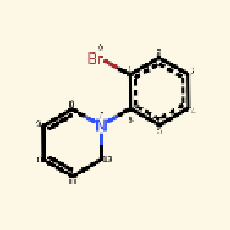 Brc1ccccc1N1C=CC=CC1